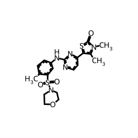 Cc1ccc(Nc2nccc(-c3sc(=O)n(C)c3C)n2)cc1S(=O)(=O)N1CCOCC1